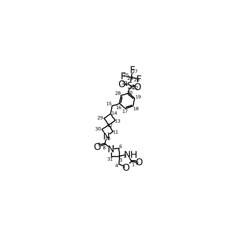 O=C1NC2(CO1)CN(C(=O)N1CC3(CC(Cc4cccc(S(=O)(=O)C(F)(F)F)c4)C3)C1)C2